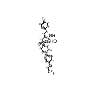 O=CN(O)C(CCc1ncc(F)cn1)CS(=O)(=O)N1CCN(c2ncc(OCC(F)(F)F)cn2)CC1